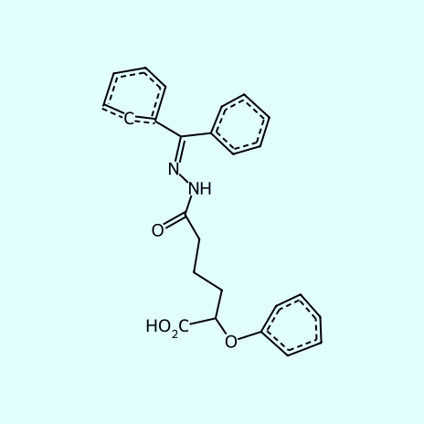 O=C(CCCC(Oc1ccccc1)C(=O)O)NN=C(c1ccccc1)c1ccccc1